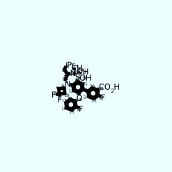 CC(C)CC1CN(C2CC(F)(F)C2)c2cc(Oc3ccccc3F)c(-c3ccc(F)c(C(=O)O)c3)cc2S(O)(O)N1C